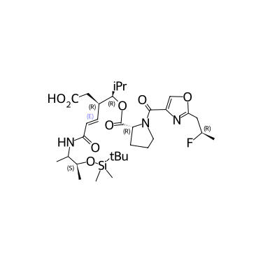 CC(NC(=O)/C=C/[C@@H](CC(=O)O)[C@H](OC(=O)[C@H]1CCCN1C(=O)c1coc(C[C@@H](C)F)n1)C(C)C)[C@H](C)O[Si](C)(C)C(C)(C)C